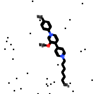 CCCCCCC[n+]1ccc(-c2cc[n+](-c3ccc(C)cc3)cc2OC)cc1